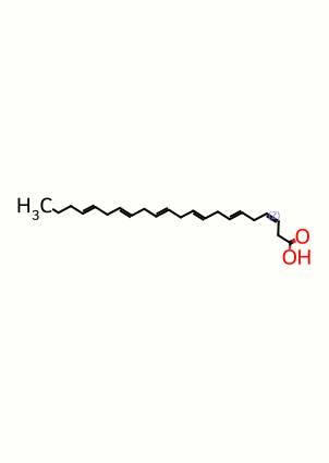 CCCC=CCC=CCC=CCC=CCC=CC/C=C\CC(=O)O